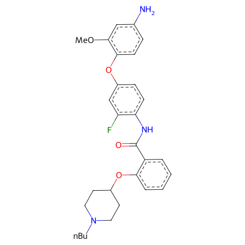 CCCCN1CCC(Oc2ccccc2C(=O)Nc2ccc(Oc3ccc(N)cc3OC)cc2F)CC1